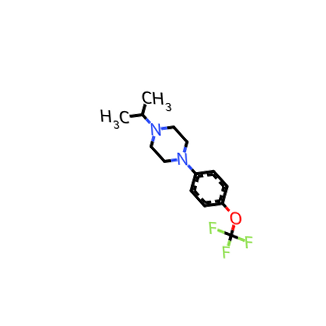 CC(C)N1CCN(c2ccc(OC(F)(F)F)cc2)CC1